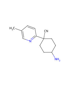 Cc1ccc(C2(C#N)CCC(N)CC2)nc1